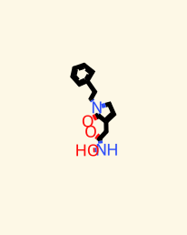 O=C(CC1=CCN(CCc2ccccc2)C1=O)NO